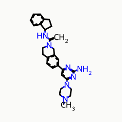 C=C(NC1CCc2ccccc21)N1CCc2ccc(-c3cc(N4CCN(C)CC4)nc(N)n3)cc2C1